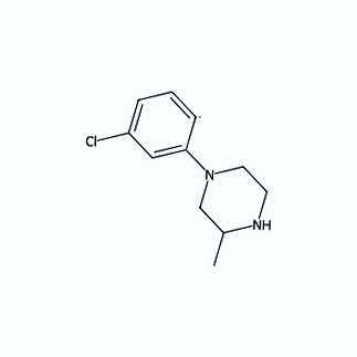 CC1CN(c2[c]ccc(Cl)c2)CCN1